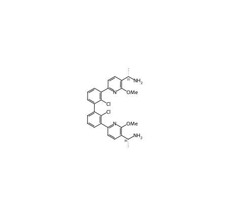 COc1nc(-c2cccc(-c3cccc(-c4ccc([C@@H](C)N)c(OC)n4)c3Cl)c2Cl)ccc1[C@H](C)N